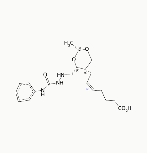 C[C@@H]1OC[C@H](C/C=C\CCCC(=O)O)[C@H](CNNC(=O)Nc2ccccc2)O1